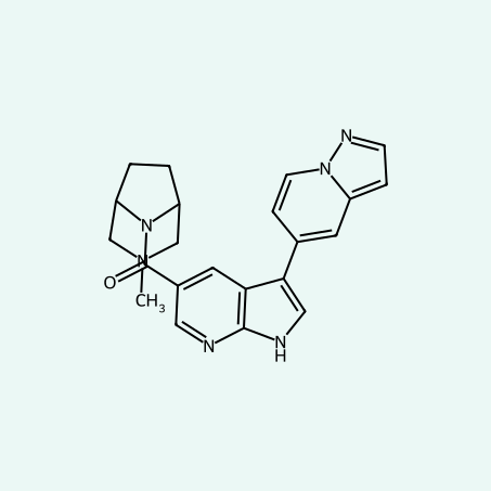 CN1CC2CCC(C1)N2C(=O)c1cnc2[nH]cc(-c3ccn4nccc4c3)c2c1